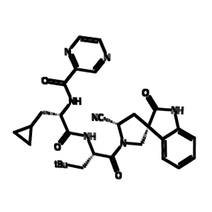 CC(C)(C)C[C@H](NC(=O)[C@H](CC1CC1)NC(=O)c1cnccn1)C(=O)N1C[C@]2(C[C@H]1C#N)C(=O)Nc1ccccc12